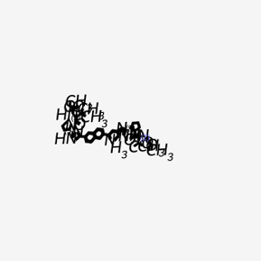 COO/C=N\[C@H](C(=O)N1CCC[C@H]1c1nc2cc(-c3ccc4cc(-c5c[nH]c([C@@H]6CCCN6C(=O)[C@@H](NC(=O)OC)C(C)C)n5)ccc4c3)ncc2[nH]1)C(C)C